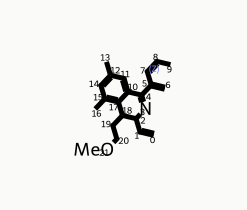 C=CC1N=C(C(=C)/C=C\C)c2cc(C)cc(C)c2C1CCOC